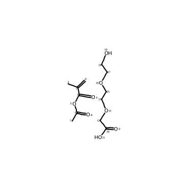 C=C(C)C(=O)OC(C)=O.O=C(O)COCCOCCO